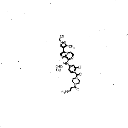 N#CCn1cc(-c2cnc3c(Nc4ccc(C(=O)N5CCN(C(=O)CCN)CC5)c(Cl)c4)nccn23)c(C(F)(F)F)n1.O=CO